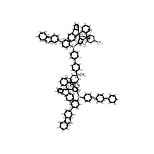 CC1C[C@H]2CC(C)C[C@H](C1)C21c2ccccc2C2(c3ccccc3-c3ccccc32)c2cc(N(c3ccc(-c4ccc([C@@]5(C)C[C@H]6C[C@H](C)C[C@@H](C5)C65c6ccccc6C6(c7ccccc7-c7ccccc76)c6cc(N(c7ccc(-c8ccc(-c9ccccc9)cc8)cc7)c7ccc(-c8ccc9c(c8)sc8ccccc89)cc7)ccc65)cc4)cc3)c3ccc(-c4ccc5c(c4)oc4ccccc45)cc3)ccc21